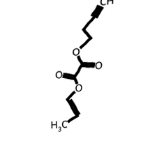 C#CCCOC(=O)C(=O)OC=CC